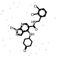 CCn1ncc2c(NC3CCC(=O)CC3)c(C(=O)NCc3cccc(Cl)c3Cl)cnc21